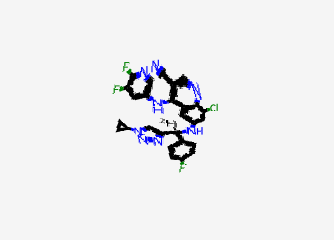 [2H][C@](Nc1cc(Cl)c2ncc(C#N)c(Nc3cnc(F)c(F)c3)c2c1)(c1ccc(F)cc1)c1cn(C2CC2)nn1